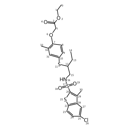 CCOC(=O)COc1ccc(SC(CC)CNS(=O)(=O)c2sc3ccc(Cl)cc3c2C)cc1C